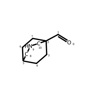 O=CC12CCC(CC1)CNC2